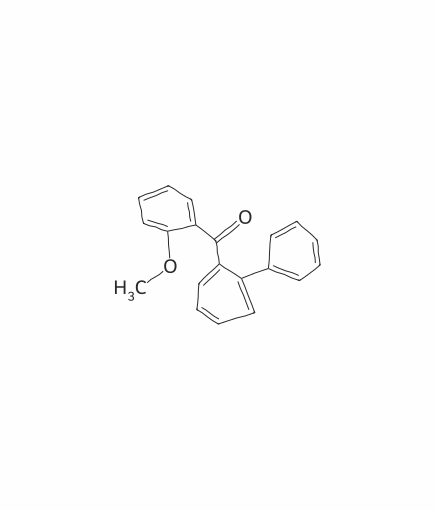 COc1ccccc1C(=O)c1ccccc1-c1ccccc1